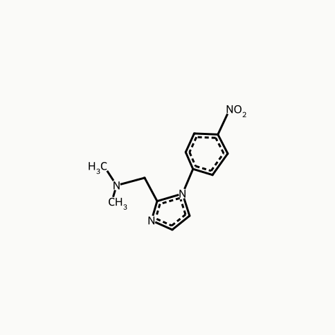 CN(C)Cc1nccn1-c1ccc([N+](=O)[O-])cc1